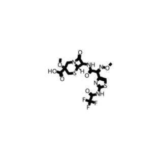 CON=C(C(=O)NC1C(=O)N2CC(OC)(C(=O)O)CS[C@H]12)c1csc(NC(=O)C(F)(F)F)n1